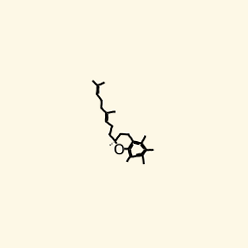 CC(C)=CCC/C(C)=C/CC[C@@]1(C)CCc2c(C)c(C)c(C)c(C)c2O1